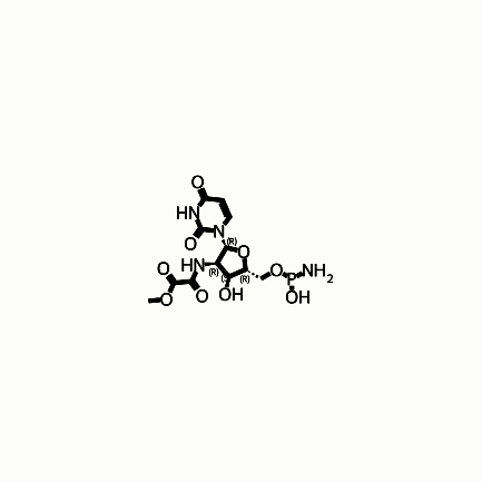 COC(=O)C(=O)N[C@@H]1[C@H](O)[C@@H](COP(N)O)O[C@H]1n1ccc(=O)[nH]c1=O